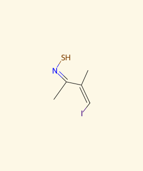 CC(=C/I)/C(C)=N\S